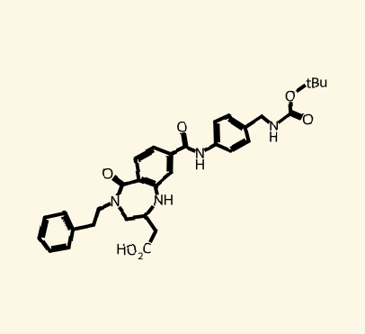 CC(C)(C)OC(=O)NCc1ccc(NC(=O)c2ccc3c(c2)NC(CC(=O)O)CN(CCc2ccccc2)C3=O)cc1